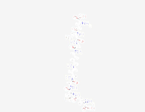 N[C@@H](CCC(=O)N[C@@H](CS)C(=O)NCC(=O)NCCCCNCCCNC(=O)CNC(=O)[C@H](CS)NC(=O)CC[C@H](N)C(=O)O)C(=O)O